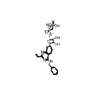 C=Cc1nc(NCc2ccccc2)c2ccc([C@@H]3O[C@H](COP(=O)(O)CP(=O)(O)O)[C@@H](O)[C@H]3O)cc2n1